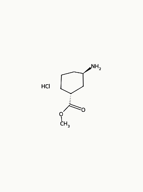 COC(=O)[C@@H]1CCC[C@@H](N)C1.Cl